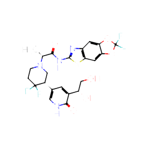 C[C@@H](C(=O)Nc1nc2cc3c(cc2s1)OC(F)(F)O3)N1CCC(F)(F)[C@H](c2c[nH]c(=O)c([C@@H](O)CO)c2)C1